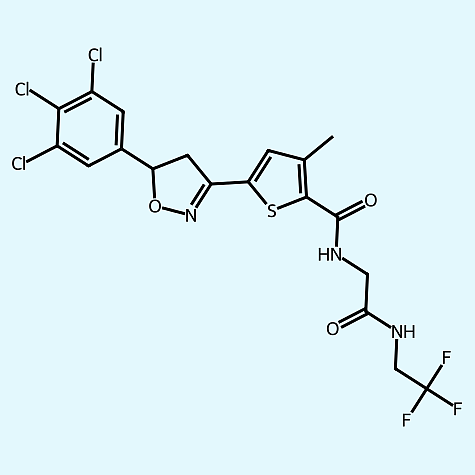 Cc1cc(C2=NOC(c3cc(Cl)c(Cl)c(Cl)c3)C2)sc1C(=O)NCC(=O)NCC(F)(F)F